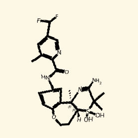 Cc1cc(C(F)F)cnc1C(=O)Nc1ccc2c(c1)[C@@]1(C)N=C(N)C(C)(C)S(O)(O)[C@@H]1CCO2